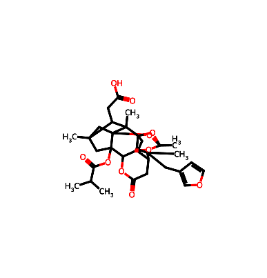 CC(C)C(=O)OC12CC3(C)CC14OC1(C)OC56C(CC(=O)OC25)C(C)(Cc2ccoc2)CCC6(O1)C4(C)C3CC(=O)O